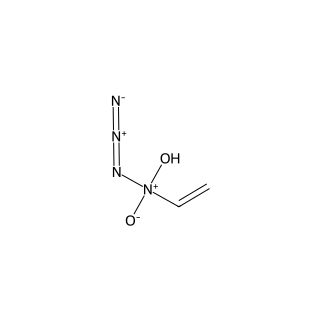 C=C[N+]([O-])(O)N=[N+]=[N-]